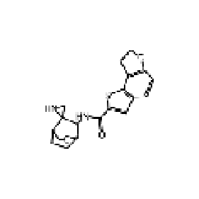 O=C(NC1C2CCC(CC2)[C@@]12CN2)c1cc2ccc3c(c2s1)CCO3